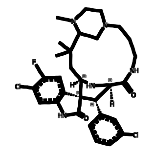 CN1CCN2CCCNC(=O)[C@@H]3N[C@H](CC(C)(C)C1C2)[C@]1(C(=O)Nc2cc(Cl)c(F)cc21)[C@H]3c1cccc(Cl)c1